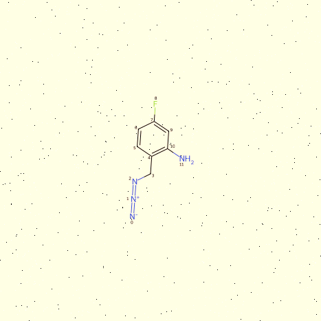 [N-]=[N+]=NCc1ccc(F)cc1N